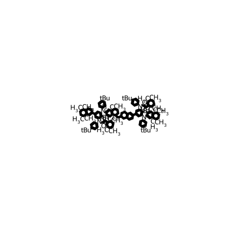 CC(C)(C)c1ccc(N2c3cc4c(cc3B3c5c2cc(-c2ccc6c(c2)CCC(CC2(C)CCC(C)(C)c7cc8c(cc72)B2c7c(cc(-c9ccc%10c(c9)C(C)(C)CCC%10(C)C)cc7N(c7ccc(C(C)(C)C)cc7)c7oc9c(c72)C(C)(C)CCC9(C)C)N8c2ccc(C(C)(C)C)cc2)C6)cc5N(c2ccc(C(C)(C)C)cc2)c2oc5c(c23)C(C)(C)CCC5(C)C)C(C)(C)CCC4(C)C)cc1